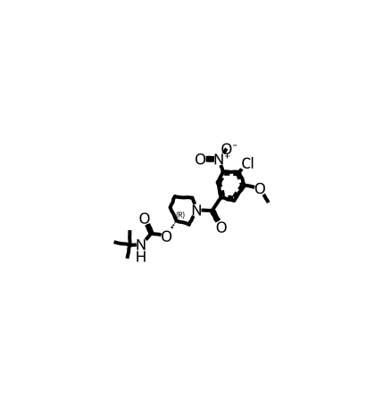 COc1cc(C(=O)N2CCC[C@@H](OC(=O)NC(C)(C)C)C2)cc([N+](=O)[O-])c1Cl